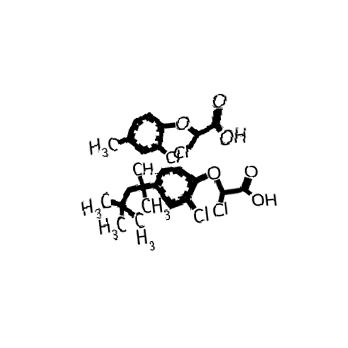 CC(C)(C)CC(C)(C)c1ccc(OC(Cl)C(=O)O)c(Cl)c1.Cc1ccc(OC(Cl)C(=O)O)c(Cl)c1